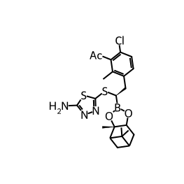 CC(=O)c1c(Cl)ccc(C[C@H](Sc2nnc(N)s2)B2OC3CC4CC(C4(C)C)[C@]3(C)O2)c1C